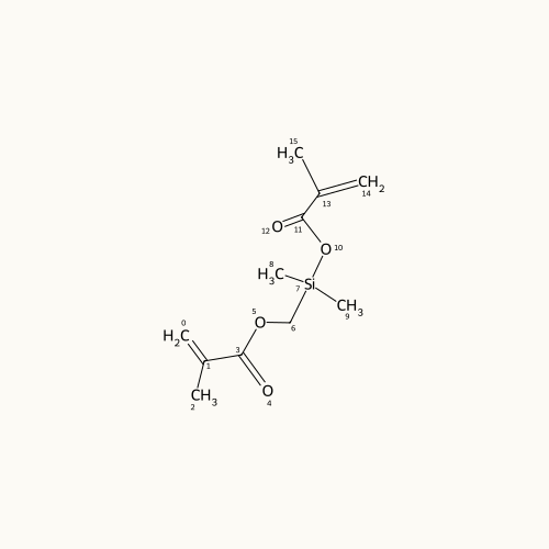 C=C(C)C(=O)OC[Si](C)(C)OC(=O)C(=C)C